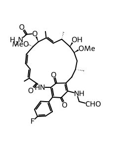 CO[C@H]1/C=C\C=C(/C)C(=O)NC2=C(c3ccc(F)cc3)C(=O)C(NCC=O)=C(C[C@@H](C)C[C@H](OC)[C@H](O)[C@@H](C)/C=C(\C)[C@@H]1OC(N)=O)C2=O